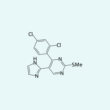 CSc1ncc(-c2ncc[nH]2)c(-c2ccc(Cl)cc2Cl)n1